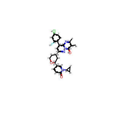 Cc1nc2c(-c3ccc(Cl)cc3F)cc([C@@H]3CCO[C@H](c4ccc(=O)n(C5CC5)c4)C3)nn2c(=O)c1C